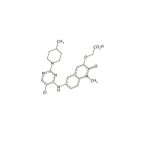 CC1CCN(c2ncc(Cl)c(Nc3ccc4c(c3)cc(OCC(=O)O)c(=O)n4C)n2)CC1